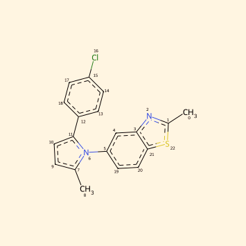 Cc1nc2cc(-n3c(C)ccc3-c3ccc(Cl)cc3)ccc2s1